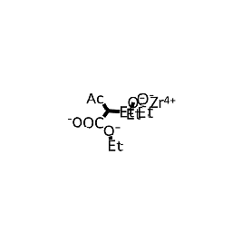 CCC(C(C)=O)C(=O)[O-].CC[O-].CC[O-].CC[O-].[Zr+4]